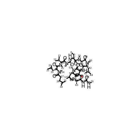 CC[C@H](NC(=O)N(C)C(=O)[C@H](C(C)C)N(C)C(=O)[C@H](CC(C)C)N(C)C(=O)CCC(C)C)C(=O)N(C)CC(=O)N(C)[C@@H](CC(C)C)C(=O)N[C@H](C(=O)N(C)[C@@H](CC(C)C)C(=O)N[C@H](C)C(=O)NC(=O)NC)C(C)C